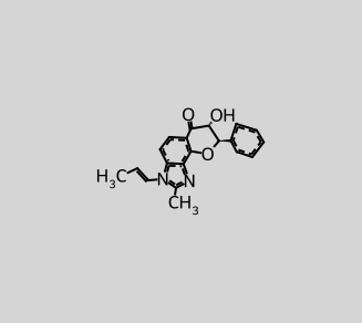 CC=Cn1c(C)nc2c3c(ccc21)C(=O)[C@H](O)[C@@H](c1ccccc1)O3